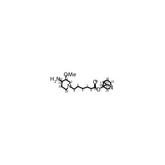 CO[C@H]1CN(CCCCCC(=O)OC2CN3CCC2CC3)CCC1N